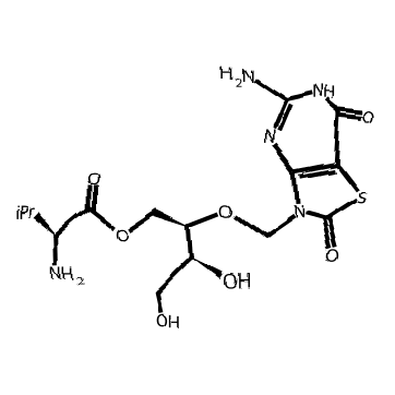 CC(C)[C@H](N)C(=O)OC[C@@H](OCn1c(=O)sc2c(=O)[nH]c(N)nc21)[C@@H](O)CO